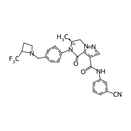 C[C@H]1Cn2ncc(C(=O)Nc3cccc(C#N)c3)c2C(=O)N1c1ccc(CN2CCC2C(F)(F)F)cc1